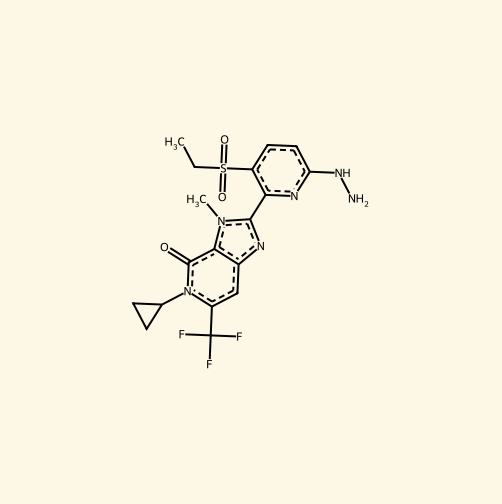 CCS(=O)(=O)c1ccc(NN)nc1-c1nc2cc(C(F)(F)F)n(C3CC3)c(=O)c2n1C